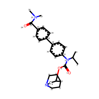 CC(C)N(C(=O)OC1CN2CCC1CC2)c1ccc(-c2ccc(C(=O)N(C)C)cc2)cc1